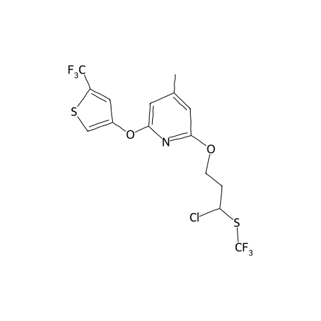 Cc1cc(OCCC(Cl)SC(F)(F)F)nc(Oc2csc(C(F)(F)F)c2)c1